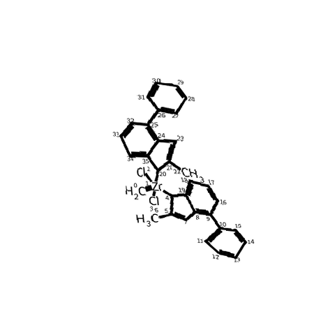 [CH2]=[Zr]([Cl])([Cl])([CH]1C(C)=Cc2c(-c3ccccc3)cccc21)[CH]1C(C)=Cc2c(-c3ccccc3)cccc21